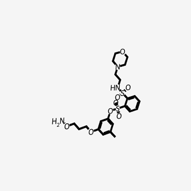 Cc1cc(OCCCON)cc(OS(=O)(=O)c2ccccc2S(=O)(=O)NCCN2CCOCC2)c1